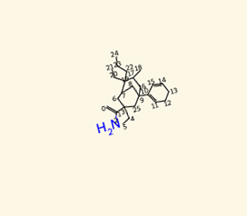 C=C(N)C1(CC)CC2CC(C3=CCCC=C3)(CC(C)C2(CC)CCC)C1